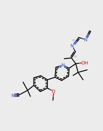 C=N/C=N\C=C(/C)C(O)(c1ccc(-c2ccc(C(C)(C)C#N)cc2OC)cn1)C(C)(C)C